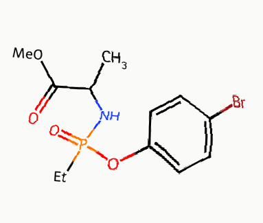 CCP(=O)(NC(C)C(=O)OC)Oc1ccc(Br)cc1